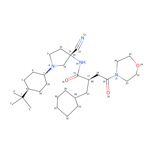 CC(C)(C)[C@H]1CC[C@@H](N2CC[C@](C#N)(NC(=O)[C@@H](CC(=O)N3CCOCC3)CC3CCCCC3)C2)CC1